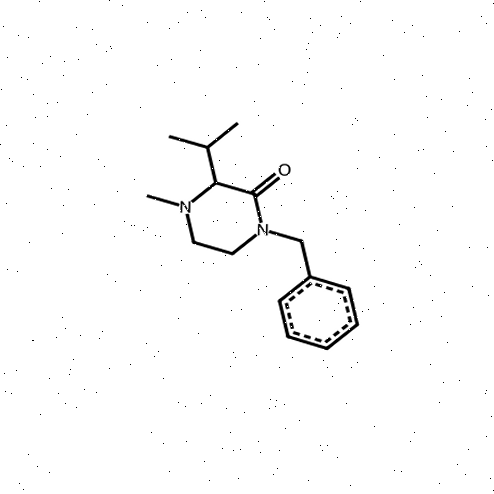 CC(C)C1C(=O)N(Cc2ccccc2)CCN1C